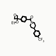 CCOC1(c2ccc(C(=O)N3CCC(c4ccc(C(F)(F)F)cc4)CC3)cc2)COC1